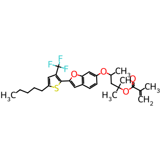 C=C(C)C(=O)OC(C)(C)CC(C)Oc1ccc2cc(-c3sc(CCCCC)cc3C(F)(F)F)oc2c1